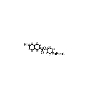 CCCCCC1CCC(OC(=O)C2CCC3CC(CC)CCC3C2)CC1